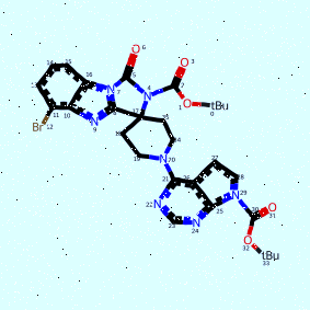 CC(C)(C)OC(=O)N1C(=O)n2c(nc3c(Br)cccc32)C12CCN(c1ncnc3c1ccn3C(=O)OC(C)(C)C)CC2